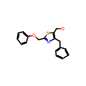 [O]Cc1sc(COc2ccccc2)nc1Cc1ccccc1